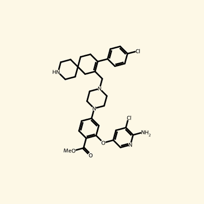 COC(=O)c1ccc(N2CCN(CC3=C(c4ccc(Cl)cc4)CCC4(CCNCC4)C3)CC2)cc1Oc1cnc(N)c(Cl)c1